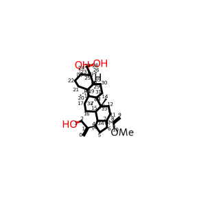 C=C(CO)[C@@H]1CC[C@]2(C(=C)OC)CC[C@]3(C)C(CCC4[C@@]5(C)CC[C@H](O)[C@@](C)(CO)[C@@H]5CC[C@]43C)C12